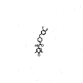 Cc1cc(NC(=O)N2CCC(Cc3ccc(F)c(F)c3)CC2)nn(C)c1=O